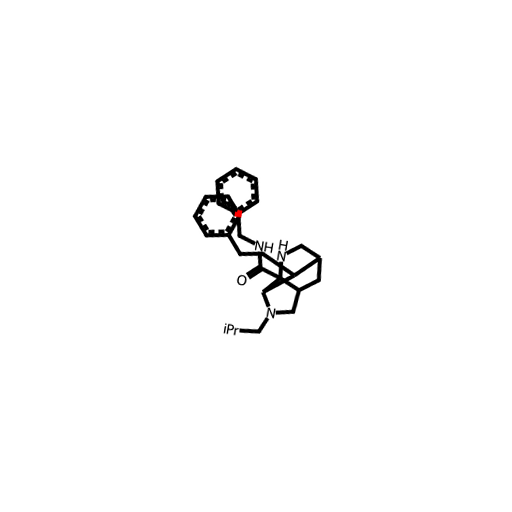 CC(C)CN1CC2CC3CNC2(C(=O)NCc2ccccc2)C1C3CCc1ccccc1